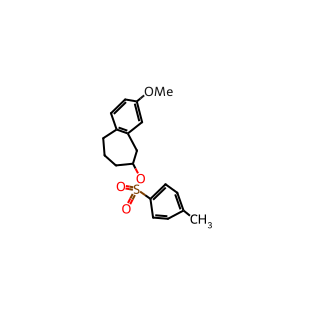 COc1ccc2c(c1)CC(OS(=O)(=O)c1ccc(C)cc1)CCC2